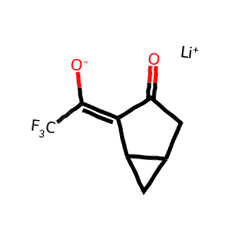 O=C1CC2CC2C1=C([O-])C(F)(F)F.[Li+]